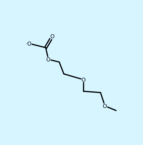 COCCOCCOC([O])=O